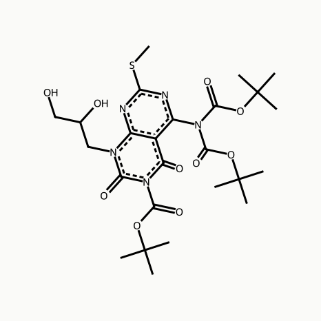 CSc1nc(N(C(=O)OC(C)(C)C)C(=O)OC(C)(C)C)c2c(=O)n(C(=O)OC(C)(C)C)c(=O)n(CC(O)CO)c2n1